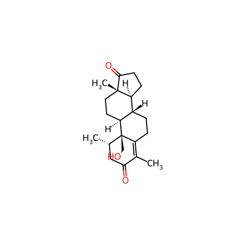 CC1=C2CC[C@@H]3[C@H](CC[C@]4(C)C(=O)CC[C@@H]34)[C@@]2(CO)[C@@H](C)CC1=O